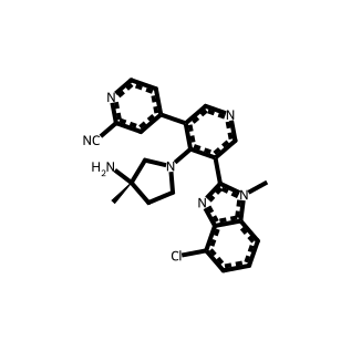 Cn1c(-c2cncc(-c3ccnc(C#N)c3)c2N2CC[C@](C)(N)C2)nc2c(Cl)cccc21